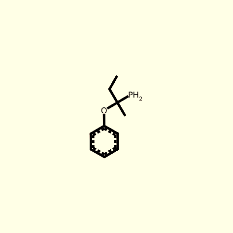 CCC(C)(P)Oc1ccccc1